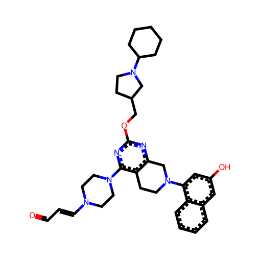 O=CC=CN1CCN(c2nc(OCC3CCN(C4CCCCC4)C3)nc3c2CCN(c2cc(O)cc4ccccc24)C3)CC1